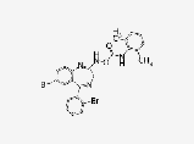 Cc1cccc(C)c1NC(=O)ONC1=Nc2ccc(Br)cc2C(c2ccccc2Br)=NC1